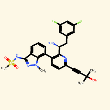 Cn1nc(NS(C)(=O)=O)c2cccc(-c3ccc(C#CC(C)(C)O)nc3[C@@H](N)Cc3cc(F)cc(F)c3)c21